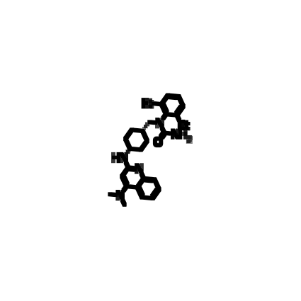 CCc1cccc(CC)c1N(C[C@H]1CC[C@@H](Nc2cc(N(C)C)c3ccccc3n2)CC1)C(N)=O